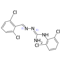 N/C(=N\N=C\c1c(Cl)cccc1Cl)Nc1c(Cl)cccc1Cl